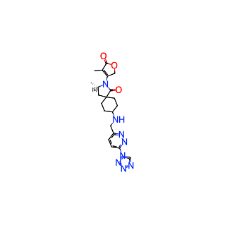 CC1=C(N2C(=O)C3(CCC(NCc4ccc(-n5cnnn5)nn4)CC3)C[C@@H]2C)COC1=O